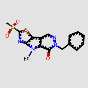 CCn1c2nc(S(C)(=O)=O)sc2c2cnn(Cc3ccccc3)c(=O)c21